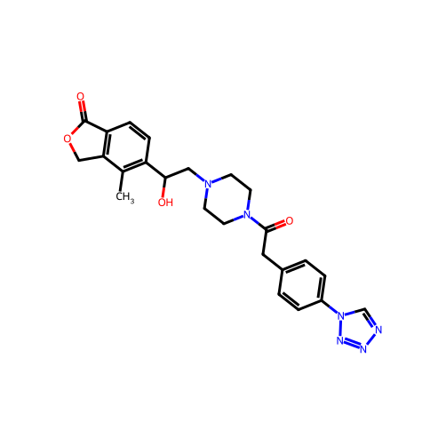 Cc1c(C(O)CN2CCN(C(=O)Cc3ccc(-n4cnnn4)cc3)CC2)ccc2c1COC2=O